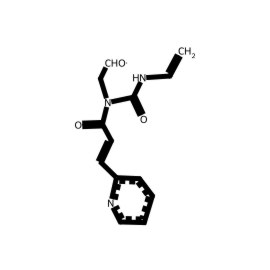 C=CNC(=O)N(C[C]=O)C(=O)C=Cc1ccccn1